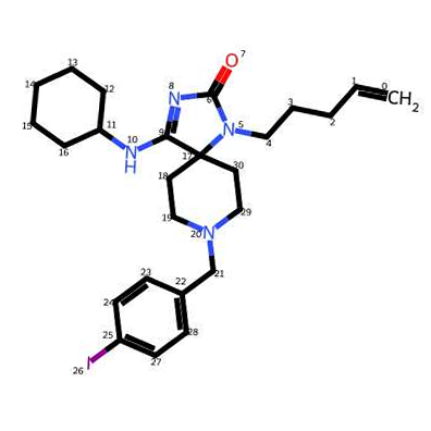 C=CCCCN1C(=O)N=C(NC2CCCCC2)C12CCN(Cc1ccc(I)cc1)CC2